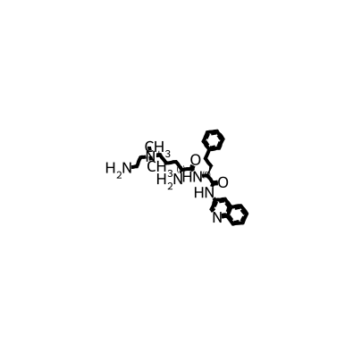 C[N+](C)(CCN)CCC[C@H](N)C(=O)N[C@@H](CCc1ccccc1)C(=O)Nc1cnc2ccccc2c1